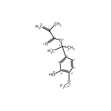 C=C(C)C(=O)OC(C)(C)c1ccc(OC(F)(F)F)c(O)c1